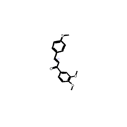 COc1ccc(C(=O)/C=C/c2ccc(SC)cc2)cc1OC